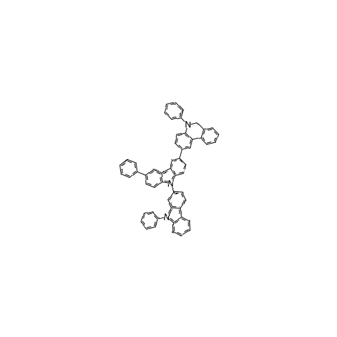 c1ccc(-c2ccc3c(c2)c2cc(-c4ccc5c(c4)-c4ccccc4CN5c4ccccc4)ccc2n3-c2ccc3c4ccccc4n(-c4ccccc4)c3c2)cc1